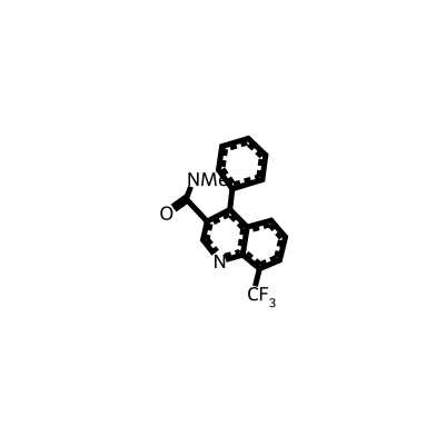 CNC(=O)c1cnc2c(C(F)(F)F)cccc2c1-c1ccccc1